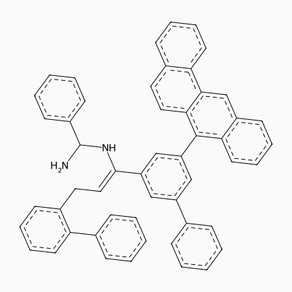 NC(N/C(=C\Cc1ccccc1-c1ccccc1)c1cc(-c2ccccc2)cc(-c2c3ccccc3cc3c2ccc2ccccc23)c1)c1ccccc1